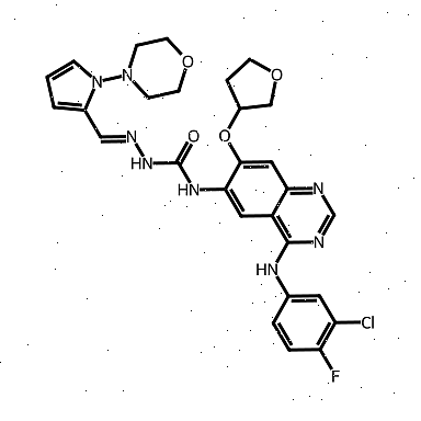 O=C(N/N=C/c1cccn1N1CCOCC1)Nc1cc2c(Nc3ccc(F)c(Cl)c3)ncnc2cc1OC1CCOC1